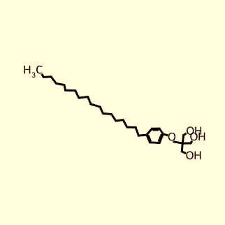 CCCCCCCCCCCCCCCCCCc1ccc(OCC(CO)(CO)CO)cc1